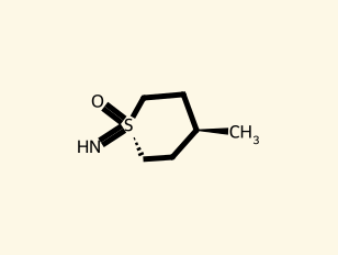 C[C@H]1CC[S@](=N)(=O)CC1